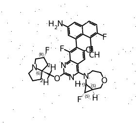 [2H]C([2H])(Oc1nc(N2CCOC[C@H]3[C@H](F)[C@H]32)c2cc(Cl)c(-c3cc(N)cc4ccc(F)c(C#C)c34)c(F)c2n1)[C@@]12CCCN1C[C@H](F)C2